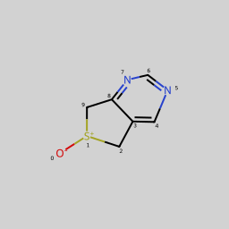 [O-][S+]1Cc2cncnc2C1